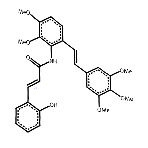 COc1cc(C=Cc2ccc(OC)c(OC)c2NC(=O)/C=C/c2ccccc2O)cc(OC)c1OC